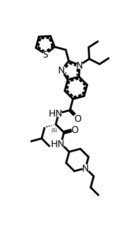 CCCN1CCC(NC(=O)[C@H](CC(C)C)NC(=O)c2ccc3c(c2)nc(Cc2cccs2)n3C(CC)CC)CC1